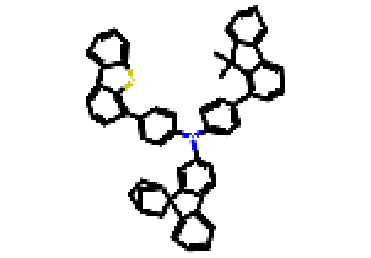 CC1(C)c2ccccc2-c2cccc(-c3ccc(N(c4ccc(-c5cccc6c5sc5ccccc56)cc4)c4ccc5c(c4)C4(CC6CCC4C6)c4ccccc4-5)cc3)c21